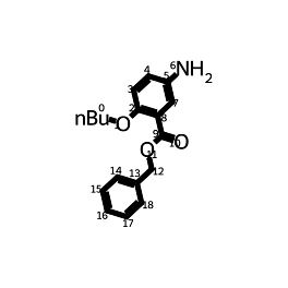 CCCCOc1ccc(N)cc1C(=O)OCc1ccccc1